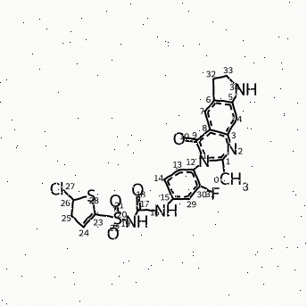 Cc1nc2cc3c(cc2c(=O)n1-c1ccc(NC(=O)NS(=O)(=O)C2=CCC(Cl)S2)cc1F)CCN3